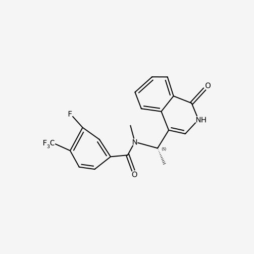 C[C@@H](c1c[nH]c(=O)c2ccccc12)N(C)C(=O)c1ccc(C(F)(F)F)c(F)c1